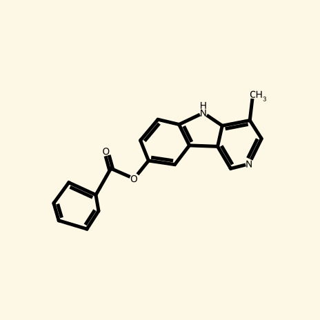 Cc1cncc2c1[nH]c1ccc(OC(=O)c3ccccc3)cc12